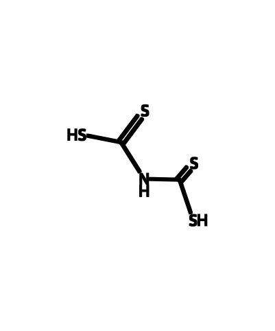 S=C(S)NC(=S)S